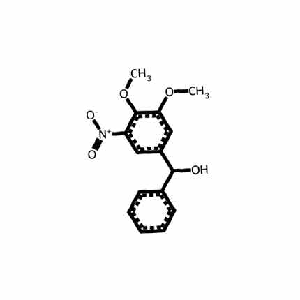 COc1cc(C(O)c2ccccc2)cc([N+](=O)[O-])c1OC